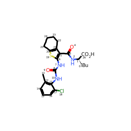 CCC(C)[C@H](NC(=O)c1c(NC(=O)Nc2c(C)cccc2Cl)sc2c1CCCC2)C(=O)O